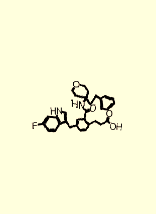 O=C(O)CCc1ccc(Cc2c[nH]c3cc(F)ccc23)cc1C(=O)NC1(CCc2ccccc2)CCOCC1